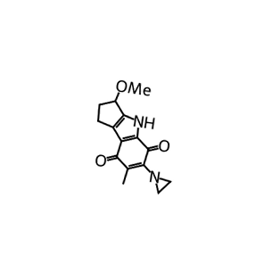 COC1CCc2c1[nH]c1c2C(=O)C(C)=C(N2CC2)C1=O